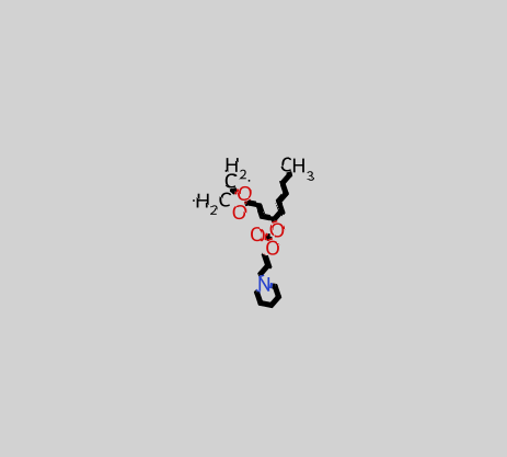 [CH2]C([CH2])OC(=O)CCC(CCCCCC)OC(=O)OCCCN1CCCCC1